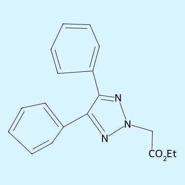 CCOC(=O)Cn1nc(-c2ccccc2)c(-c2ccccc2)n1